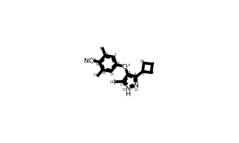 Cc1cc(Oc2c(C3CCC3)n[nH]c2I)cc(C)c1C#N